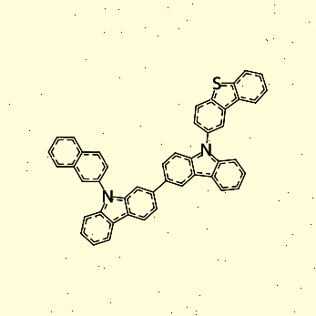 c1ccc2cc(-n3c4ccccc4c4ccc(-c5ccc6c(c5)c5ccccc5n6-c5ccc6sc7ccccc7c6c5)cc43)ccc2c1